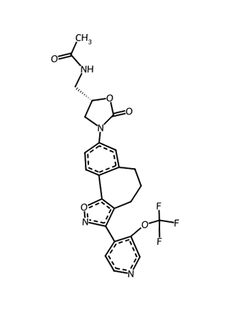 CC(=O)NC[C@H]1CN(c2ccc3c(c2)CCCc2c(-c4ccncc4OC(F)(F)F)noc2-3)C(=O)O1